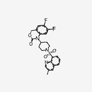 Cc1cnc2c(S(=O)(=O)N3CCC(N4C(=O)OCc5cc(F)c(F)cc54)CC3)cccc2c1